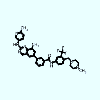 Cc1ccc(Nc2ncc3cc(-c4cccc(C(=O)Nc5ccc(CN6CCN(C)CC6)c(C(F)(F)F)c5)c4)cc(C)c3n2)cn1